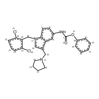 O=C(Nc1ccc2c(c1)c(CN1CCCC1)cn2Cc1c(Cl)cccc1Cl)Oc1ccccc1